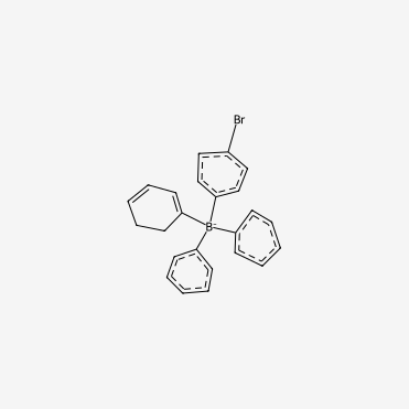 Brc1ccc([B-](C2=CC=CCC2)(c2ccccc2)c2ccccc2)cc1